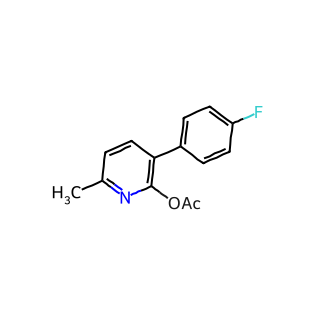 CC(=O)Oc1nc(C)ccc1-c1ccc(F)cc1